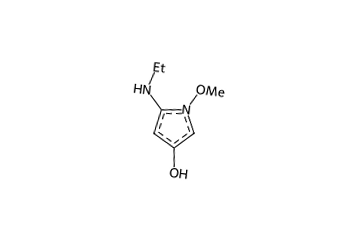 CCNc1cc(O)cn1OC